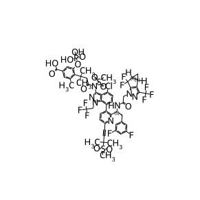 Cc1cc(C(=O)O)cc(OP(=O)(O)O)c1C(C)(C)CC(=O)N(c1nn(CC(F)(F)F)c2c(-c3ccc(C#CC(C)(C)S(C)(=O)=O)nc3[C@H](Cc3cc(F)cc(F)c3)NC(=O)Cn3nc(C(F)(F)F)c4c3C(F)(F)[C@@H]3C[C@H]43)ccc(Cl)c12)S(C)(=O)=O